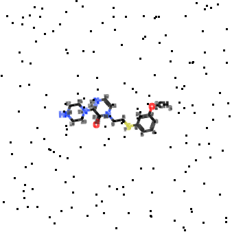 COc1cccc(SCCn2ccnc(N3CCNCC3)c2=O)c1